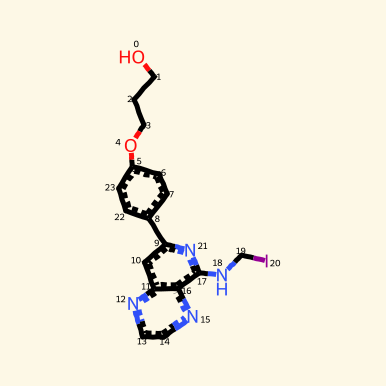 OCCCOc1ccc(-c2cc3nccnc3c(NCI)n2)cc1